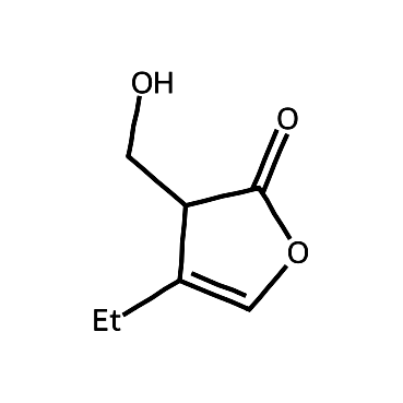 CCC1=COC(=O)C1CO